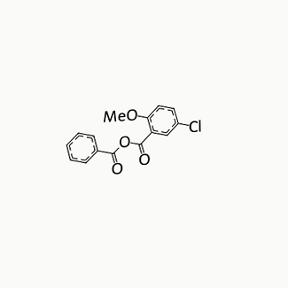 COc1ccc(Cl)cc1C(=O)OC(=O)c1ccccc1